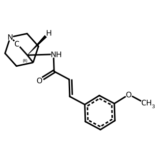 COc1cccc(C=CC(=O)N[C@H]2CN3CCC2CC3)c1